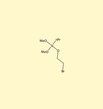 CCC[Si](OC)(OC)OCCBr